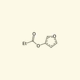 CCC(=O)Oc1ccoc1